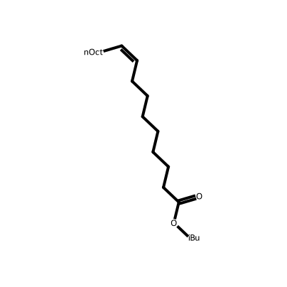 CCCCCCCC/C=C\CCCCCCCC(=O)OC(C)CC